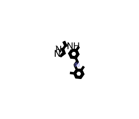 C=C(Nc1ccc(/C=C/c2c(C)cccc2C)cc1C)c1ccnn1C